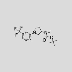 CC(C)(C)OC(=O)N[C@@H]1CCN(c2cc(C(F)(F)F)ccn2)C1